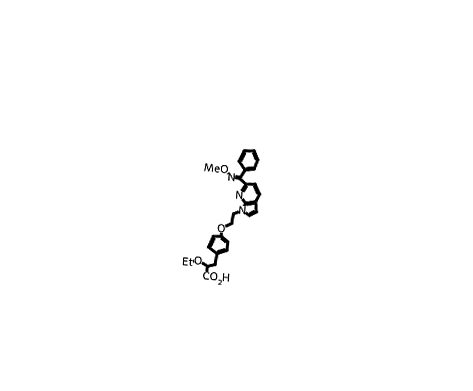 CCOC(Cc1ccc(OCCn2ccc3ccc(C(=NOC)c4ccccc4)nc32)cc1)C(=O)O